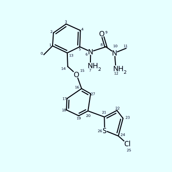 Cc1cccc(N(N)C(=O)N(C)N)c1COc1cccc(-c2ccc(Cl)s2)c1